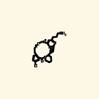 CN1CCCCCc2ccc(Cl)cc2C(=O)N2CCCCC2c2cc3nc(CCCN)cc1n3n2